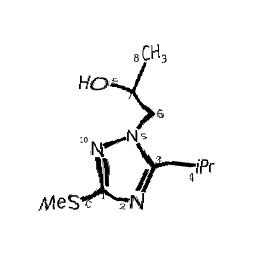 CSc1nc(C(C)C)n(CC(C)O)n1